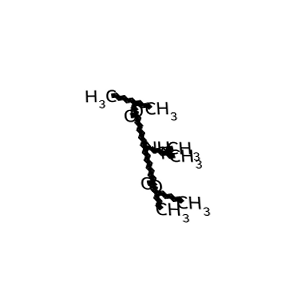 CCCCCCC(CCCC)COC(=O)CCCCCCCCC(CCCCCCCCC(=O)OCC(CCCC)CCCCCC)NCCCN(CC)CC